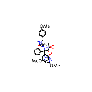 COC(=O)C(Oc1nc(OC)cc(OC)n1)C(NC(=O)N(C)Cc1ccc(OC)cc1)(c1ccccc1)c1ccccc1